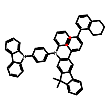 CC1(C)c2ccccc2-c2cc(-c3ccc(-c4cccc5c4CCCC5)cc3)c(N(c3ccccc3)c3ccc(-n4c5ccccc5c5ccccc54)cc3)cc21